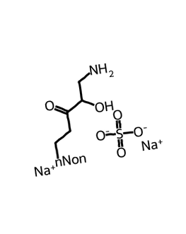 CCCCCCCCCCCC(=O)C(O)CN.O=S(=O)([O-])[O-].[Na+].[Na+]